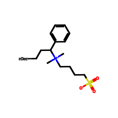 CCCCCCCCCCCCC(c1ccccc1)[N+](C)(C)CCCCS(=O)(=O)[O-]